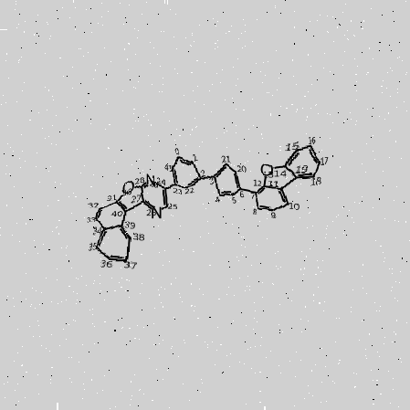 c1cc(-c2ccc(-c3cccc4c3oc3ccccc34)cc2)cc(-c2cnc3c(n2)oc2ccc4ccccc4c23)c1